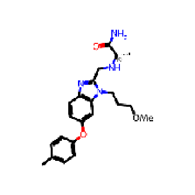 COCCCn1c(CN[C@@H](C)C(N)=O)nc2ccc(Oc3ccc(C)cc3)cc21